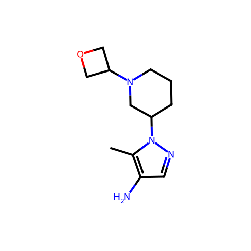 Cc1c(N)cnn1C1CCCN(C2COC2)C1